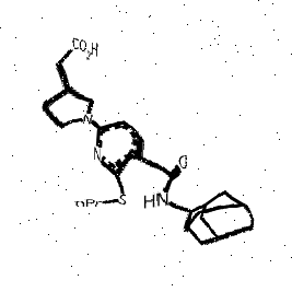 CCCSc1nc(N2CCC(CC(=O)O)C2)ccc1C(=O)NC1C2CC3CC(C2)CC1C3